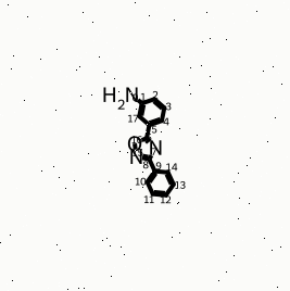 Nc1cccc(-c2nc(-c3ccccc3)no2)c1